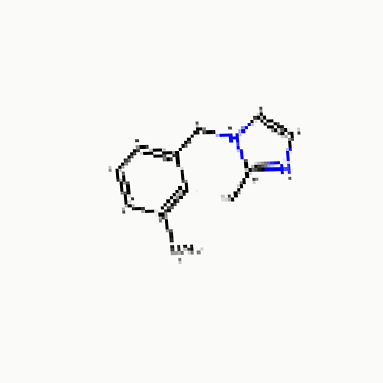 COc1cccc(Cn2c[c]nc2C)c1